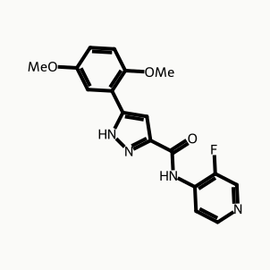 COc1ccc(OC)c(-c2cc(C(=O)Nc3ccncc3F)n[nH]2)c1